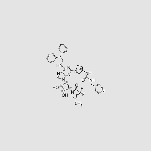 CCCN(C(=O)C(F)(F)F)[C@H]1C[C@@H](n2cnc3c(NCC(c4ccccc4)c4ccccc4)nc(N4CC[C@@H](NC(=O)NCc5ccncc5)C4)nc32)[C@H](O)[C@@H]1O